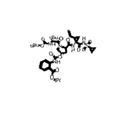 C=CC1C[C@]1(NC(=O)C1C[C@@H](OC(=O)Nc2ccccc2C(=O)OC(C)C)CN1C(=O)[C@@H](NC(=O)OC(C)(C)C)C(C)(C)C)C(=O)NS(=O)(=O)C1CC1